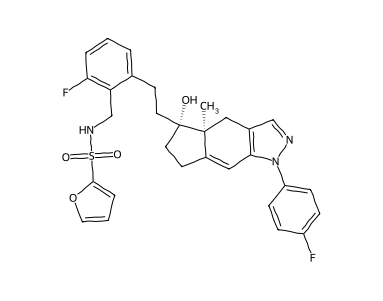 C[C@]12Cc3cnn(-c4ccc(F)cc4)c3C=C1CC[C@@]2(O)CCc1cccc(F)c1CNS(=O)(=O)c1ccco1